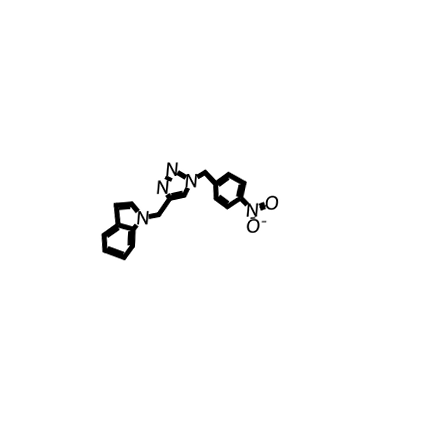 O=[N+]([O-])c1ccc(Cn2cc(Cn3ccc4ccccc43)nn2)cc1